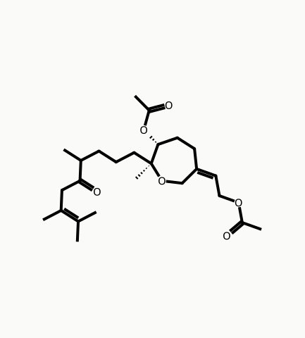 CC(=O)OCC=C1CC[C@@H](OC(C)=O)[C@](C)(CCCC(C)C(=O)CC(C)=C(C)C)OC1